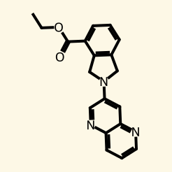 CCOC(=O)c1cccc2c1CN(c1cnc3cccnc3c1)C2